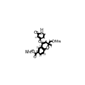 COCC1(C)C=C(Oc2cc[nH]c(=O)c2)c2cc(C(=O)OC)ccc2O1